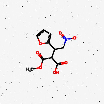 COC(=O)C(C(=O)O)C(C[N+](=O)[O-])c1ccco1